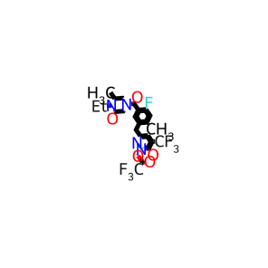 CCN1C(=O)CN(C(=O)c2cc(Cc3nn(OC(=O)C(F)(F)F)c(=O)c(C(F)(F)F)c3C)ccc2F)CC1C